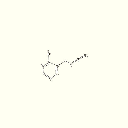 [N-]=[N+]=NCc1cccnc1Br